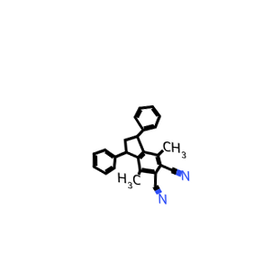 Cc1c(C#N)c(C#N)c(C)c2c1C(c1ccccc1)CC2c1ccccc1